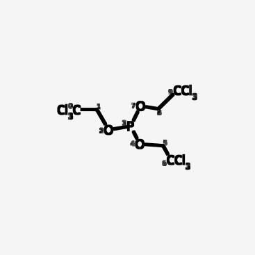 ClC(Cl)(Cl)COP(OCC(Cl)(Cl)Cl)OCC(Cl)(Cl)Cl